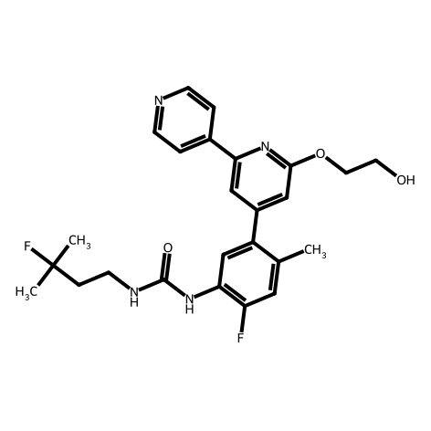 Cc1cc(F)c(NC(=O)NCCC(C)(C)F)cc1-c1cc(OCCO)nc(-c2ccncc2)c1